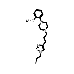 COc1ccccc1N1CCN(CCCc2cn(CCF)nn2)CC1